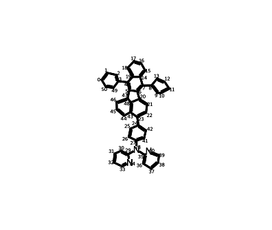 c1ccc(-c2c3c(c(-c4ccccc4)c4ccccc24)-c2ccc(-c4ccc(N(c5ccccn5)c5ccccn5)cc4)c4cccc-3c24)cc1